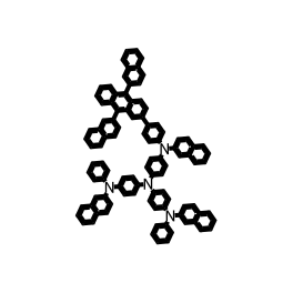 c1ccc(N(c2ccc(N(c3ccc(N(c4ccccc4)c4ccc5ccccc5c4)cc3)c3ccc(N(c4ccc(-c5ccc6c(-c7ccc8ccccc8c7)c7ccccc7c(-c7ccc8ccccc8c7)c6c5)cc4)c4ccc5ccccc5c4)cc3)cc2)c2ccc3ccccc3c2)cc1